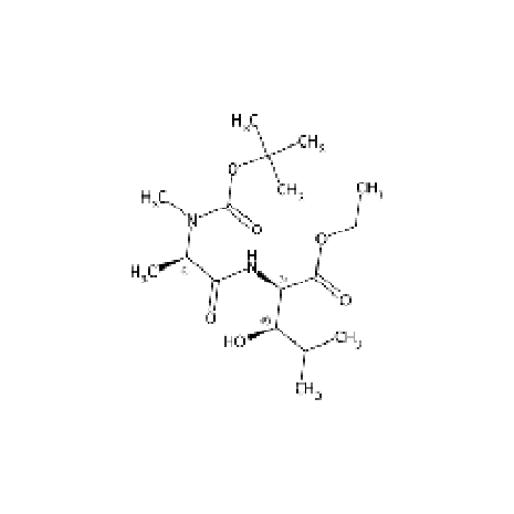 CCOC(=O)[C@H](NC(=O)[C@@H](C)N(C)C(=O)OC(C)(C)C)[C@H](O)C(C)C